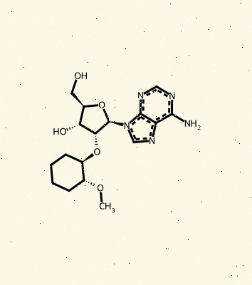 CO[C@@H]1CCCC[C@H]1O[C@@H]1[C@H](O)[C@@H](CO)O[C@H]1n1cnc2c(N)ncnc21